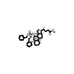 COC(=O)CC[C@@H](C)[C@H]1CC[C@H]2[C@@H]3[C@H](OP(=O)(OCc4ccccc4)OCc4ccccc4)C[C@@H]4CCCC[C@]4(C)[C@H]3CC[C@]12C